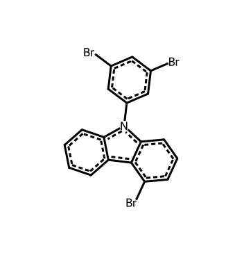 Brc1cc(Br)cc(-n2c3ccccc3c3c(Br)cccc32)c1